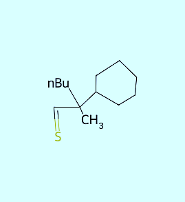 CCCCC(C)(C=S)C1CCCCC1